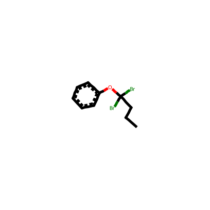 CCCC(Br)(Br)Oc1ccccc1